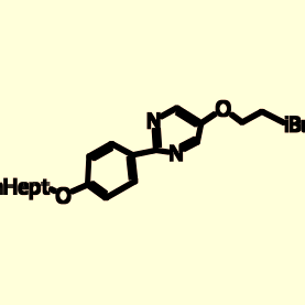 CCCCCCCOc1ccc(-c2ncc(OCCC(C)CC)cn2)cc1